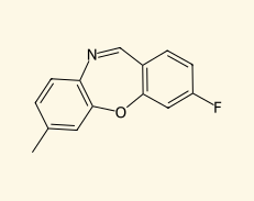 Cc1ccc2c(c1)Oc1cc(F)ccc1C=N2